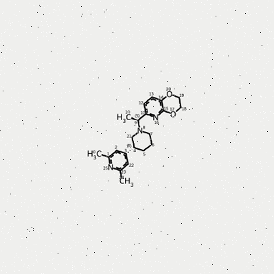 Cc1cc([C@H]2CCCN([C@@H](C)c3ccc4c(n3)OCCO4)C2)cc(C)n1